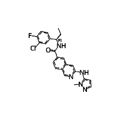 CC[C@@H](NC(=O)c1ccc2cnc(Nc3ccnn3C)cc2c1)c1ccc(F)c(Cl)c1